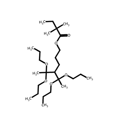 CCCOC(C)(OCCC)C(CCCOC(=O)C(C)(C)CC)C(C)(OCCC)OCCC